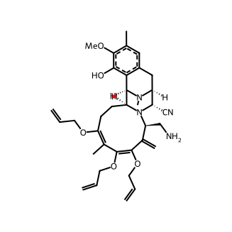 C=CCO/C1=C(OCC=C)/C(C)=C(/OCC=C)CC[C@H]2[C@H]3c4c(cc(C)c(OC)c4O)C[C@@H]([C@H](C#N)N2[C@@H](CN)C1=C)N3C